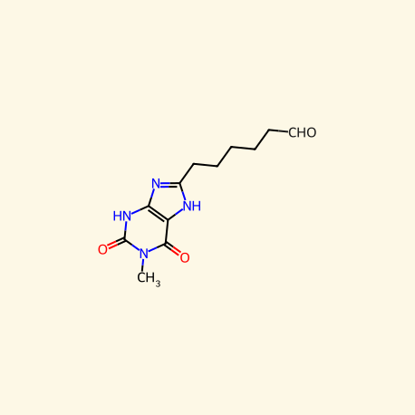 Cn1c(=O)[nH]c2nc(CCCCCC=O)[nH]c2c1=O